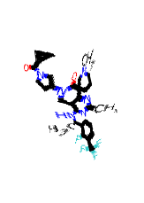 Cc1nc(N[C@H](C)c2cccc(C(F)(F)F)c2F)c2c(n1)C1(CCCN(C)C1)C(=O)N(C1CCN(C(=O)C3CC3)C1)C2